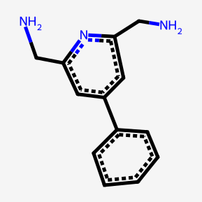 NCc1cc(-c2ccccc2)cc(CN)n1